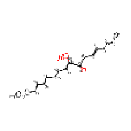 CCC=CCC=CCC(=O)C(O)CCCCCCCC(=O)O